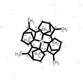 CC1C2CC[C]([Cr]([C]34CCC(C3)C(C)C4C)([C]34CCC(C3)C(C)C4C)[C]34CCC(C3)C(C)C4C)(C2)C1C